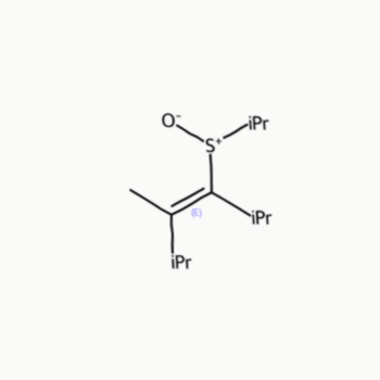 C/C(=C(/C(C)C)[S+]([O-])C(C)C)C(C)C